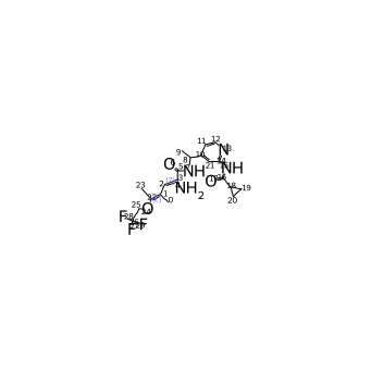 CC(/C=C(\N)C(=O)NC(C)c1ccnc(NC(=O)C2CC2)c1)=C(/C)OCC(F)(F)F